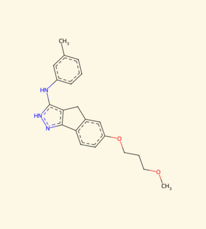 COCCCOc1ccc2c(c1)Cc1c-2n[nH]c1Nc1cccc(C)c1